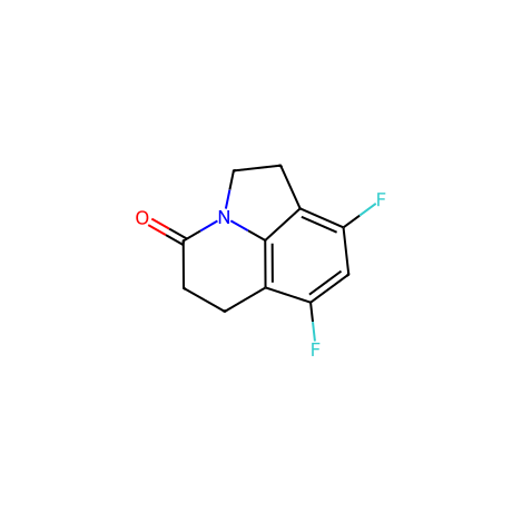 O=C1CCc2c(F)cc(F)c3c2N1CC3